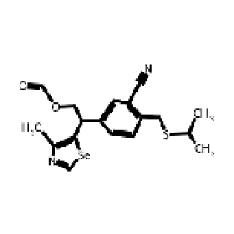 Cc1nc[se]c1C(COC=O)c1ccc(CSC(C)C)c(C#N)c1